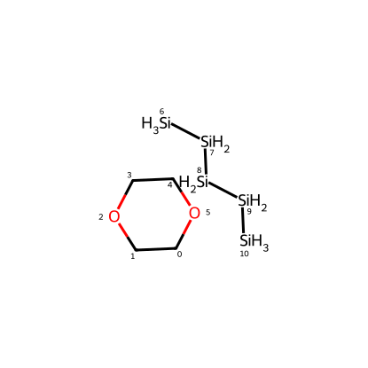 C1COCCO1.[SiH3][SiH2][SiH2][SiH2][SiH3]